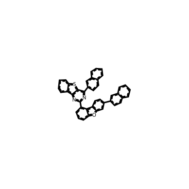 c1ccc2cc(-c3ccc4c(c3)oc3cccc(-c5nc(-c6ccc7ccccc7c6)c6sc7ccccc7c6n5)c34)ccc2c1